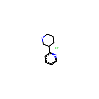 Cl.c1ccc(C2CCCNC2)nc1